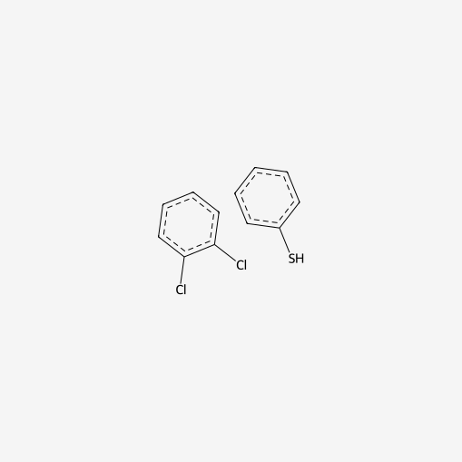 Clc1ccccc1Cl.Sc1ccccc1